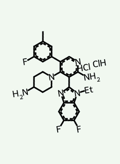 CCn1c(-c2c(N)ncc(-c3cc(C)cc(F)c3)c2N2CCC(N)CC2)nc2cc(F)c(F)cc21.Cl.Cl